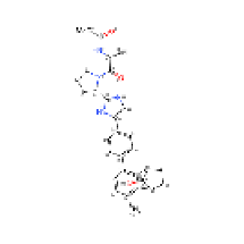 COC(=O)N[C@H](C(=O)N1CCC[C@H]1c1ncc(-c2ccc(-c3ccc(C)c4c3C3CCC4C3=O)cc2)[nH]1)C(C)C